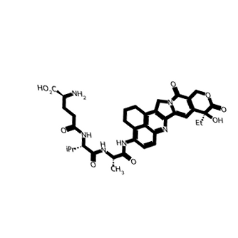 CC[C@@]1(O)C(=O)OCc2c1cc1n(c2=O)Cc2c-1nc1ccc(NC(=O)[C@H](C)NC(=O)[C@@H](NC(=O)CC[C@H](N)C(=O)O)C(C)C)c3c1c2CCC3